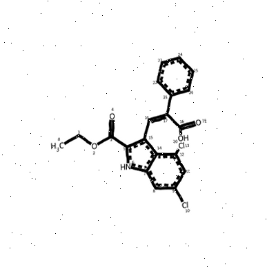 CCOC(=O)c1[nH]c2cc(Cl)cc(Cl)c2c1/C=C(\C(=O)O)c1ccccc1